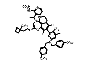 COc1ccc(CN(Cc2ccc(OC)cc2)c2cc(C)c(C(F)(F)F)c(-c3c(F)c4c5c(c3Cl)=NCNC=5N(C(C)c3cccnc3NC(=O)O)C=C(OCCC3(OC)CCC3)O4)n2)cc1